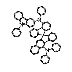 c1ccc(N(c2ccc3c(c2)c2ccccc2n3-c2ccccc2)c2cccc3c2-c2ccccc2C32c3ccccc3-c3c2cc2ccccc2c3N(c2ccccc2)c2ccccc2)cc1